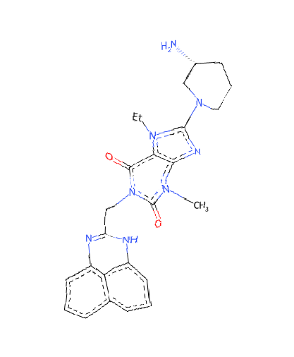 CCn1c(N2CCC[C@@H](N)C2)nc2c1c(=O)n(CC1=Nc3cccc4cccc(c34)N1)c(=O)n2C